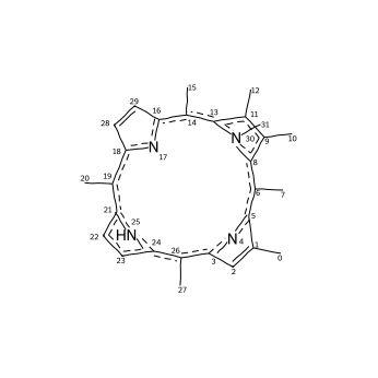 CC1=Cc2nc1c(C)c1c(C)c(C)c(c(C)c3nc(c(C)c4ccc([nH]4)c2C)C=C3)n1C